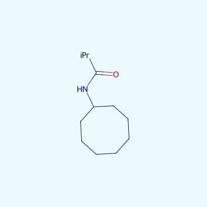 CC(C)C(=O)NC1CCCCCCC1